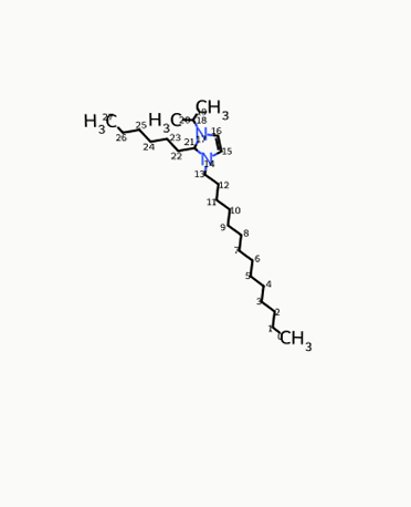 CCCCCCCCCCCCCCN1C=CN(C(C)C)C1CCCCCC